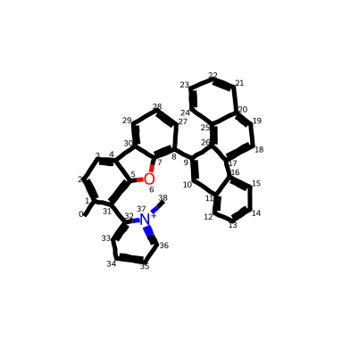 Cc1ccc2c(oc3c(-c4cc5ccccc5c5ccc6ccccc6c45)cccc32)c1-c1cccc[n+]1C